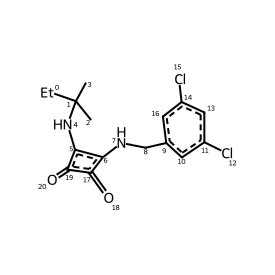 CCC(C)(C)Nc1c(NCc2cc(Cl)cc(Cl)c2)c(=O)c1=O